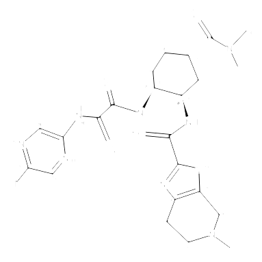 CN1CCc2nc(C(=O)N[C@@H]3C[C@@H](C(=O)N(C)C)CC[C@@H]3NC(=O)C(=O)Nc3cnc(Cl)cn3)sc2C1